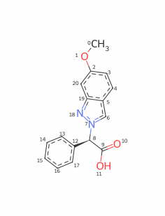 COc1ccc2cn([C@@H](C(=O)O)c3ccccc3)nc2c1